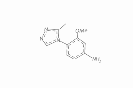 COc1cc(N)ccc1-n1cnnc1C